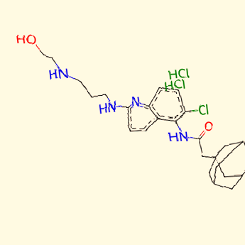 Cl.Cl.O=C(CC12CC3CC(CC(C3)C1)C2)Nc1c(Cl)ccc2nc(NCCCNCCO)ccc12